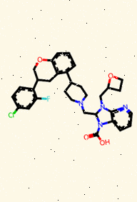 O=C(O)N1c2cccnc2N(CC2CCO2)C1CN1CCC(c2cccc3c2CC(c2ccc(Cl)cc2F)CO3)CC1